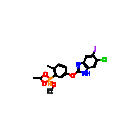 CCO[PH]1(c2cc(Oc3nc4cc(I)c(Cl)cc4[nH]3)ccc2C)OC(C)O1